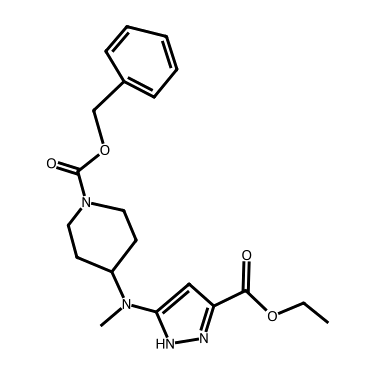 CCOC(=O)c1cc(N(C)C2CCN(C(=O)OCc3ccccc3)CC2)[nH]n1